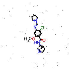 COc1cc(N=CN2CCCC2)c(Cl)cc1C(=O)NC1CN2CCC1CC2